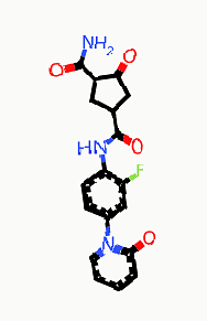 NC(=O)C1CC(C(=O)Nc2ccc(-n3ccccc3=O)cc2F)CC1=O